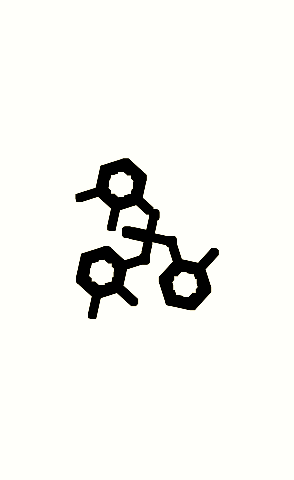 Cc1ccccc1OP(=O)(Oc1cccc(C)c1C)Oc1cccc(C)c1C